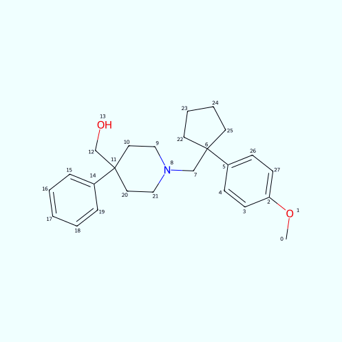 COc1ccc(C2(CN3CCC(CO)(c4ccccc4)CC3)CCCC2)cc1